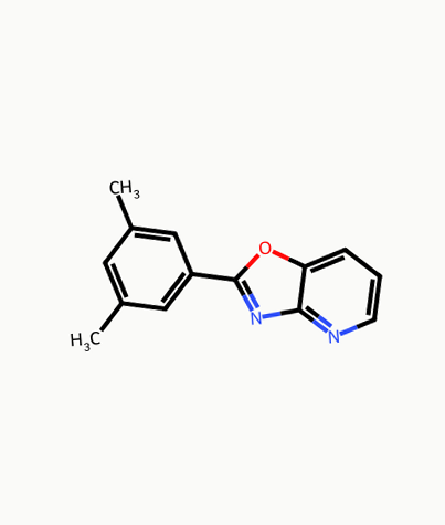 Cc1cc(C)cc(-c2nc3ncccc3o2)c1